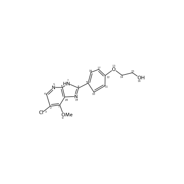 COc1c(Cl)cnc2[nH]c(-c3ccc(OCCO)cc3)nc12